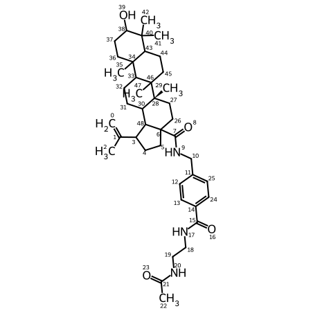 C=C(C)C1CCC2(C(=O)NCc3ccc(C(=O)NCCNC(C)=O)cc3)CC[C@]3(C)C(CCC4C5(C)CCC(O)C(C)(C)C5CCC43C)C12